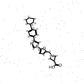 O=C(O)C1CN(Cc2ccc(-n3cnc(-c4ccc(C5CCCCC5)cc4)c3)o2)C1